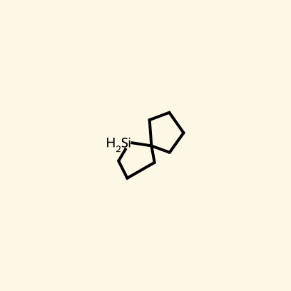 C1CCC2(C1)CCC[SiH2]2